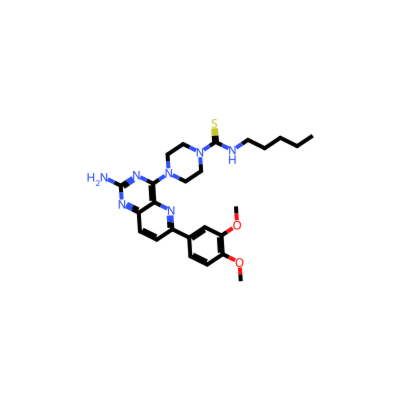 CCCCCNC(=S)N1CCN(c2nc(N)nc3ccc(-c4ccc(OC)c(OC)c4)nc23)CC1